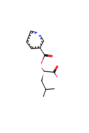 CC(C)C[C@@H](OC(=O)c1cccnc1)C(=O)O